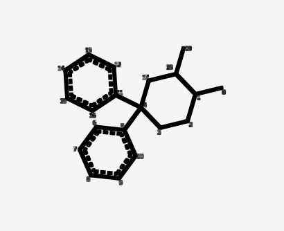 CC1CCC(c2ccccc2)(c2ccccc2)CC1C